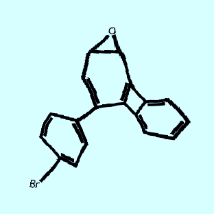 Brc1ccc(C2=CC3OC3C3=C2c2ccccc23)cc1